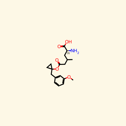 COc1cccc(CC2(OC(=O)CC(C)C[C@H](N)C(=O)O)CC2)c1